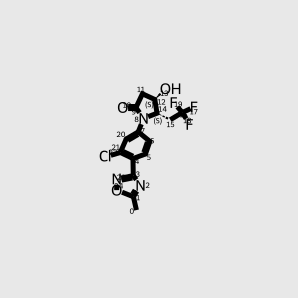 Cc1nc(-c2ccc(N3C(=O)C[C@H](O)[C@@H]3CC(F)(F)F)cc2Cl)no1